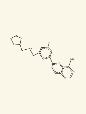 Nc1ncnc2ccc(-c3cc(F)cc(CNCC4CCOC4)c3)nc12